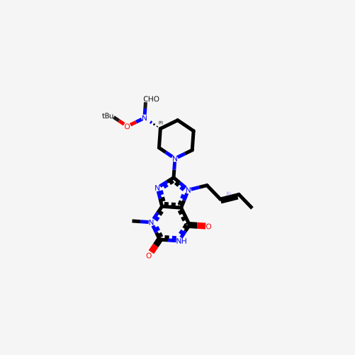 C/C=C/Cn1c(N2CCC[C@@H](N(C=O)OC(C)(C)C)C2)nc2c1c(=O)[nH]c(=O)n2C